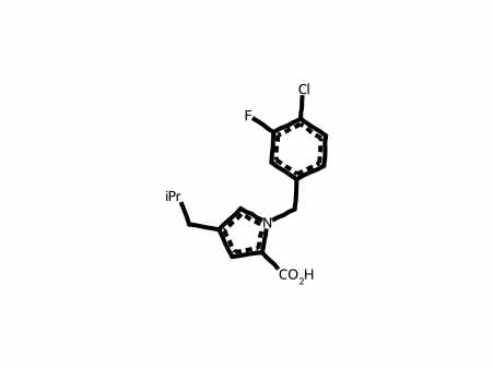 CC(C)Cc1cc(C(=O)O)n(Cc2ccc(Cl)c(F)c2)c1